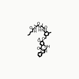 CCCCC(=O)N[C@@H](C)C(=O)N[C@@H](C)C(=O)Nc1cc(C)cc(COc2cc3c(cc2OC)C(=O)N2c4ccccc4C[C@H]2CN3)c1